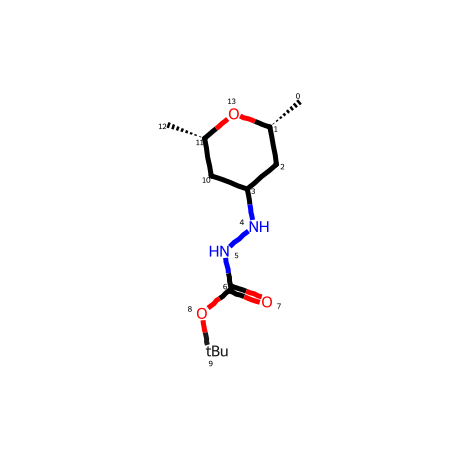 C[C@@H]1CC(NNC(=O)OC(C)(C)C)C[C@H](C)O1